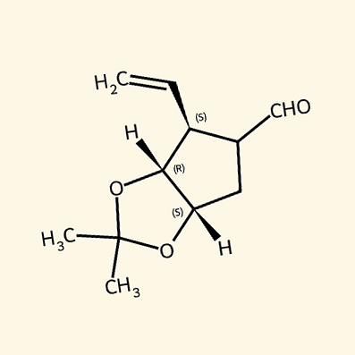 C=C[C@H]1C(C=O)C[C@@H]2OC(C)(C)O[C@@H]21